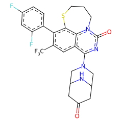 O=C1CC2CN(c3nc(=O)n4c5c(c(-c6ccc(F)cc6F)c(C(F)(F)F)cc35)SCCC4)CC(C1)N2